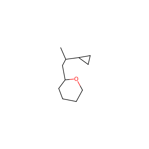 CC(CC1CCCCO1)C1CC1